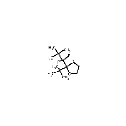 CC(C)(C)C(F)(F)C1(C(C)(C)C)OCCO1